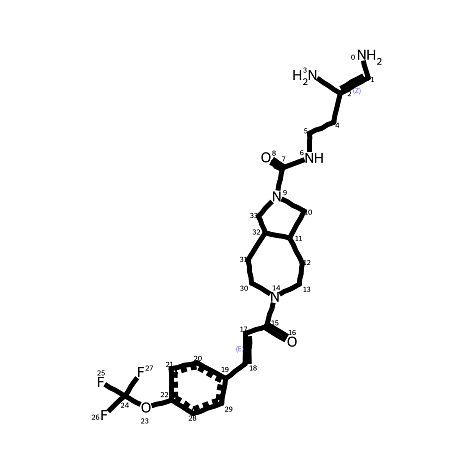 N/C=C(\N)CCNC(=O)N1CC2CCN(C(=O)/C=C/c3ccc(OC(F)(F)F)cc3)CCC2C1